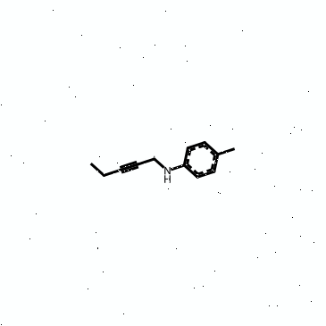 CCC#C[CH]Nc1ccc(C)cc1